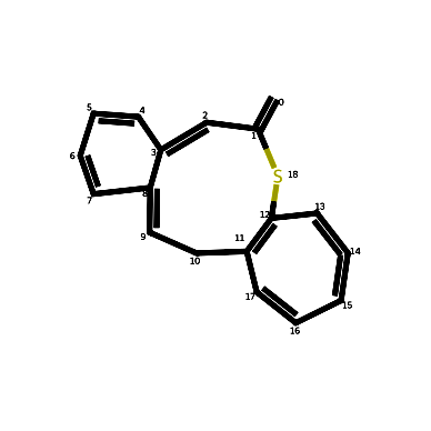 C=C1/C=c2/cccc/c2=C/CC2=C(C=C=CC=C2)S1